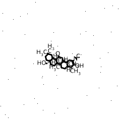 [C-]#[N+]C1=C(O)[C@@H](C)[C@@H]2CC[C@]3(C)[C@H](CC(=O)[C@@H]4[C@@H]5CC(C)(C)CC[C@]5(CO)CC[C@]43C)[C@@]2(C)C1